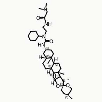 C[C@H]1CC[C@@]2(OC1)O[C@H]1C[C@H]3[C@@H]4CC[C@@H]5C[C@H](NC(=O)N(CCNC(=O)CN(C)C)C6CCCCC6)CC[C@]5(C)[C@H]4CC[C@]3(C)C1[C@@H]2C